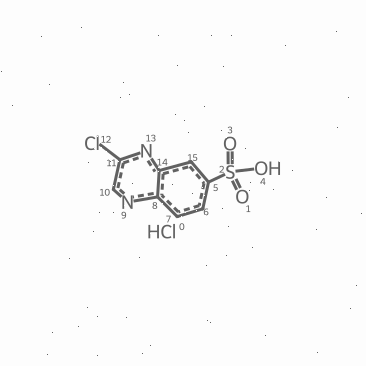 Cl.O=S(=O)(O)c1ccc2ncc(Cl)nc2c1